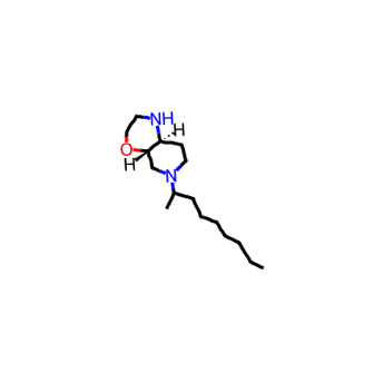 CCCCCCCC(C)N1CC[C@@H]2NCCO[C@H]2C1